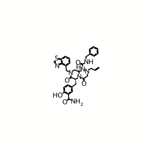 C=CCN1CC(=O)N2[C@@H](Cc3ccc(O)c(C(N)=O)c3)C(=O)N(Cc3cccc4scnc34)C[C@@H]2N1C(=O)NCc1ccccc1